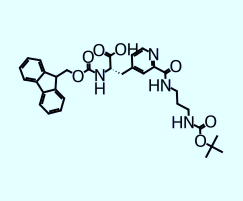 CC(C)(C)OC(=O)NCCCNC(=O)c1cc(C[C@H](NC(=O)OCC2c3ccccc3-c3ccccc32)C(=O)O)ccn1